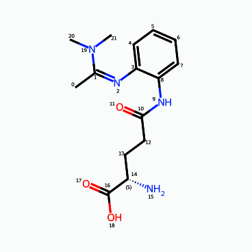 CC(=Nc1ccccc1NC(=O)CC[C@H](N)C(=O)O)N(C)C